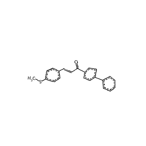 CSc1ccc(C=CC(=O)c2ccc(-c3ccccc3)cc2)cc1